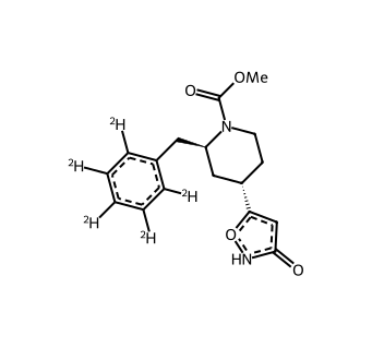 [2H]c1c([2H])c([2H])c(C[C@@H]2C[C@@H](c3cc(=O)[nH]o3)CCN2C(=O)OC)c([2H])c1[2H]